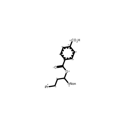 CCCCCCCCCC(CCC(C)C)OC(=O)c1ccc(C(=O)O)cc1